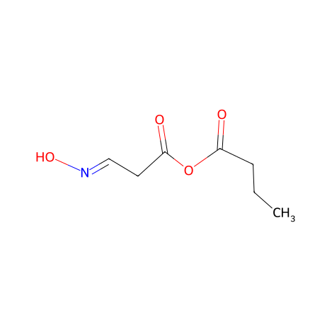 CCCC(=O)OC(=O)CC=NO